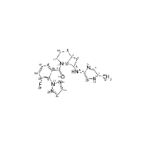 Cc1cnc(NC2CC3CCCN(C(=O)c4cccc(F)c4-n4nccn4)C32)cn1